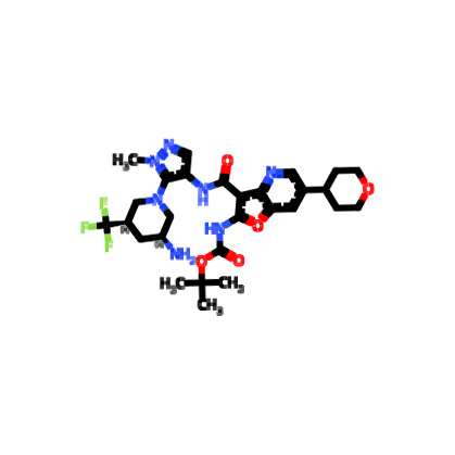 Cn1ncc(NC(=O)c2c(NC(=O)OC(C)(C)C)oc3cc(C4CCOCC4)cnc23)c1N1C[C@@H](N)C[C@@H](C(F)(F)F)C1